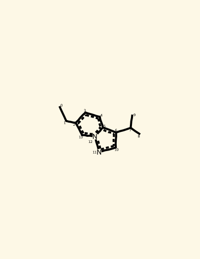 CCc1ccc2c(C(C)C)cnn2c1